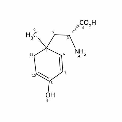 CC1(C[C@@H](N)C(=O)O)C=CC(O)=CC1